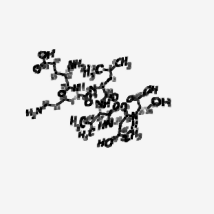 CC(C)C[C@H](NC(=O)[C@H](CCCCN)NC(=O)[C@@H](N)CCC(=O)O)C(=O)N[C@H](C(=O)N[C@H](C(=O)N[C@@H](CO)C(=O)O)[C@@H](C)O)C(C)C